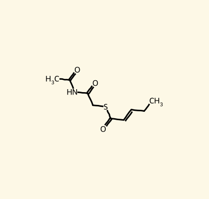 CCC=CC(=O)SCC(=O)NC(C)=O